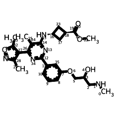 CNCC(O)COc1cccc(-c2nc(N[C@H]3C[C@H](C(=O)OC)C3)c(C)c(-c3c(C)noc3C)n2)c1